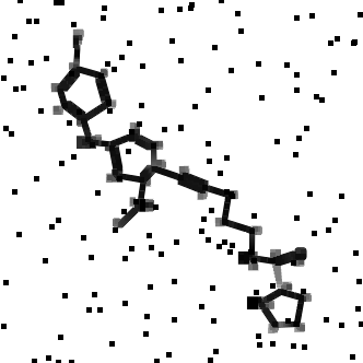 CNc1nc(Nc2ccc(F)cc2)ncc1C#CCCCNC(=O)[C@@H]1CCCN1